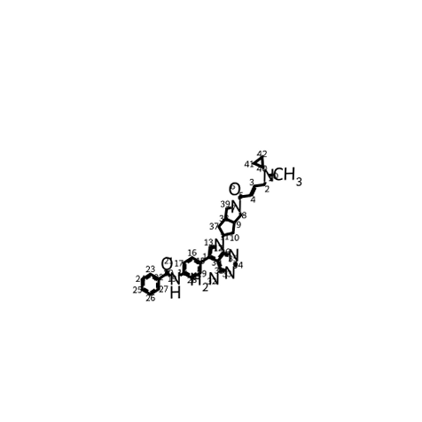 CN(CC=CC(=O)N1CC2CC(n3cc(-c4ccc(NC(=O)c5ccccc5)cc4)c4c(N)ncnc43)CC2C1)C1CC1